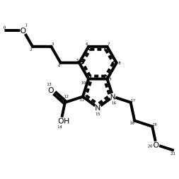 COCCCc1cccc2c1c(C(=O)O)nn2CCCOC